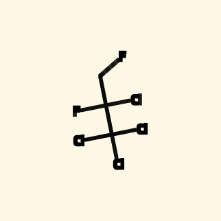 FCC(F)(Cl)C(Cl)(Cl)Cl